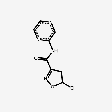 CC1CC(C(=O)Nc2cnccn2)=NO1